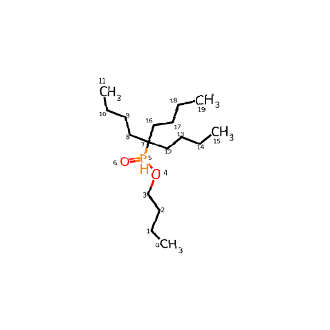 CCCCO[PH](=O)C(CCCC)(CCCC)CCCC